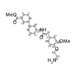 COC(=O)c1cccc(-c2cccc(NC(=O)Cc3ccc(OCCN)c(OC)c3)c2)c1